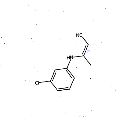 C/C(=C/C#N)Nc1cccc(Cl)c1